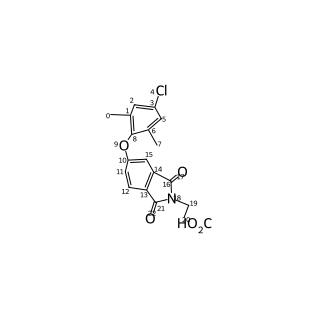 Cc1cc(Cl)cc(C)c1Oc1ccc2c(c1)C(=O)N(CC(=O)O)C2=O